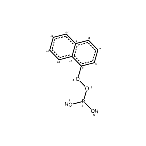 OB(O)OOc1cccc2ccccc12